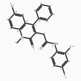 Cn1c(=O)c(CC(=O)Nc2ccc(F)cc2F)c(-c2ccccc2)c2cc(Cl)ccc21